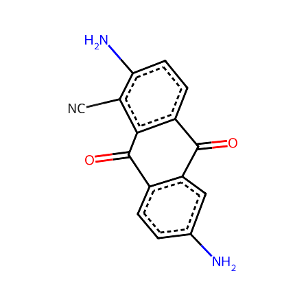 N#Cc1c(N)ccc2c1C(=O)c1ccc(N)cc1C2=O